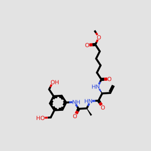 C=C[C@H](NC(=O)CCCCC(=O)OC)C(=O)N[C@@H](C)C(=O)Nc1cc(CO)cc(CO)c1